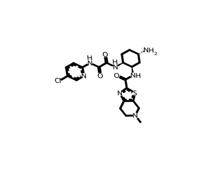 CN1CCc2nc(C(=O)N[C@@H]3C[C@@H](N)CC[C@@H]3NC(=O)C(=O)Nc3ccc(Cl)cn3)sc2C1